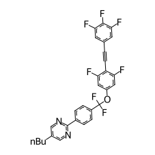 CCCCc1cnc(-c2ccc(C(F)(F)Oc3cc(F)c(C#Cc4cc(F)c(F)c(F)c4)c(F)c3)cc2)nc1